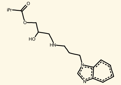 CC(C)C(=O)OCC(O)CNCCCn1cnc2ccccc21